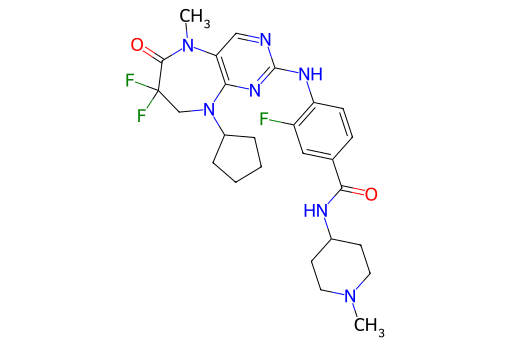 CN1CCC(NC(=O)c2ccc(Nc3ncc4c(n3)N(C3CCCC3)CC(F)(F)C(=O)N4C)c(F)c2)CC1